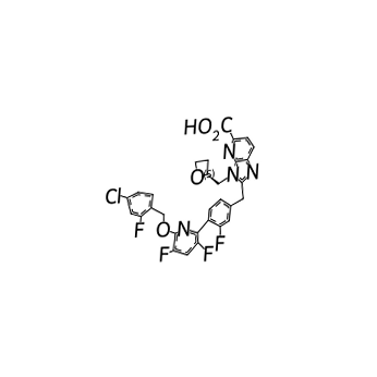 O=C(O)c1ccc2nc(Cc3ccc(-c4nc(OCc5ccc(Cl)cc5F)c(F)cc4F)c(F)c3)n(C[C@@H]3CCO3)c2n1